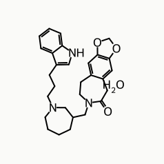 O.O=C1Cc2cc3c(cc2CCN1CC1CCCCN(CCCc2c[nH]c4ccccc24)C1)OCO3